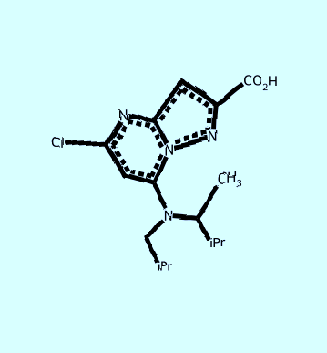 CC(C)CN(c1cc(Cl)nc2cc(C(=O)O)nn12)C(C)C(C)C